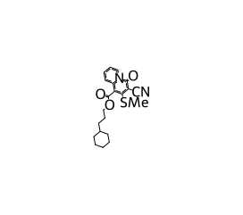 CSc1c(C#N)c(=O)n2ccccc2c1C(=O)OCCCC1CCCCC1